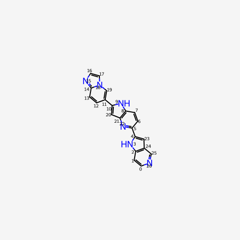 c1cc2[nH]c(-c3ccc4[nH]c(-c5ccc6nccn6c5)cc4n3)cc2cn1